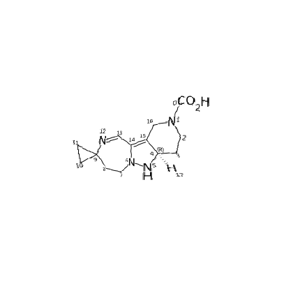 O=C(O)N1CC[C@H]2NN3CCC4(CC4)N=CC3=C2C1